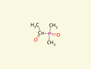 [CH3][Co](=[O])[P](C)(C)=O